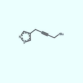 CC(C)(C)CC#CCc1cnsc1